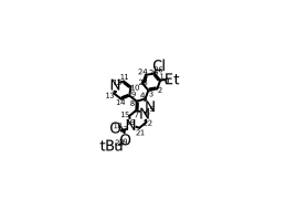 CCc1cc(-c2nn3c(c2-c2ccncc2)CN(C(=O)OC(C)(C)C)CC3)ccc1Cl